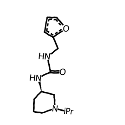 CC(C)N1CCC[C@@H](NC(=O)NCc2ccco2)C1